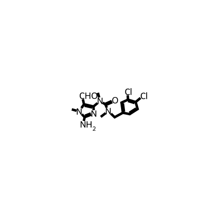 CN(Cc1ccc(Cl)c(Cl)c1)C(=O)N(C)c1nc(N)n(C)c1C=O